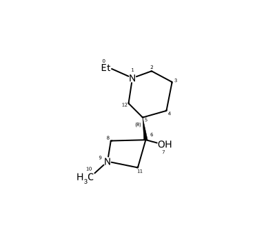 CCN1CCC[C@@H](C2(O)CN(C)C2)C1